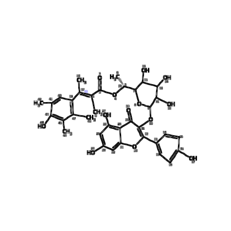 C/C(C(=O)O[C@H](C)C1OC(Oc2c(-c3ccc(O)cc3)oc3cc(O)cc(O)c3c2=O)C(O)C(O)C1O)=C(/C)c1cc(C)c(O)c(C)c1C